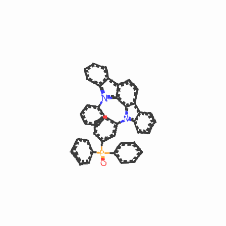 O=P(c1ccccc1)(c1ccccc1)c1cccc(-n2c3ccccc3c3ccc4c5ccccc5n(-c5ccccc5)c4c32)c1